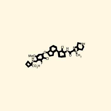 COc1cc(OC2CCc3c(-c4cccc(NC(=O)c5nc6c(n5C)CCNC6)c4Cl)cccc32)c(Cl)c(F)c1CNC1(C(=O)O)CCC1